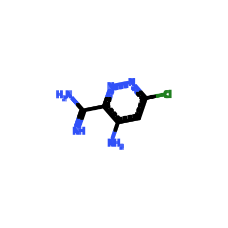 N=C(N)c1nnc(Cl)cc1N